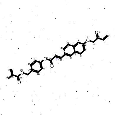 C=CC(=O)COc1ccc2cc(/C=C/C(=O)Oc3ccc(COC(=O)C(=C)C)cc3)ccc2c1